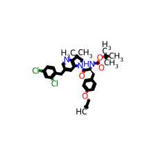 C#CCOc1ccc(C[C@H](NC(=O)OC(C)(C)C)C(=O)N2CC(C)(C)c3ncc(Cc4ccc(Cl)cc4Cl)cc32)cc1